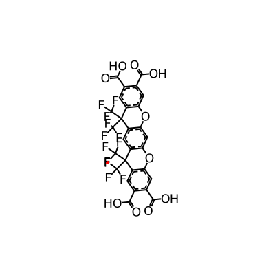 O=C(O)c1cc2c(cc1C(=O)O)C(C(F)(F)F)(C(F)(F)F)c1cc3c(cc1O2)Oc1cc(C(=O)O)c(C(=O)O)cc1C3(C(F)(F)F)C(F)(F)F